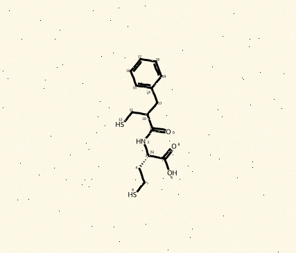 O=C(N[C@@H](CCS)C(=O)O)C(CS)Cc1ccccc1